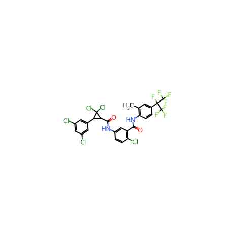 Cc1cc(C(F)(C(F)(F)F)C(F)(F)F)ccc1NC(=O)c1cc(NC(=O)C2C(c3cc(Cl)cc(Cl)c3)C2(Cl)Cl)ccc1Cl